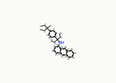 CCC(C)(CC)c1ccc(C(CC)(CC)Nc2cccc3cc4ccccc4cc23)cc1